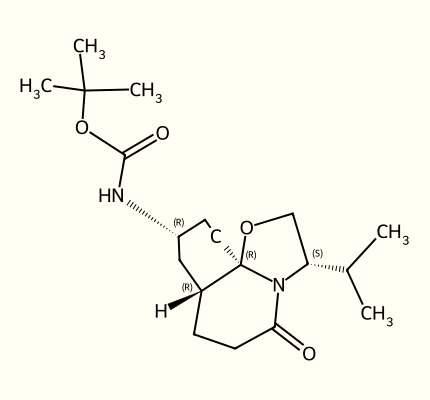 CC(C)[C@H]1CO[C@]23CC[C@@H](NC(=O)OC(C)(C)C)C[C@H]2CCC(=O)N13